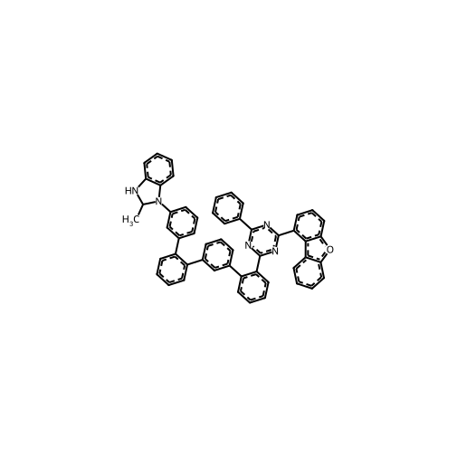 CC1Nc2ccccc2N1c1cccc(-c2ccccc2-c2cccc(-c3ccccc3-c3nc(-c4ccccc4)nc(-c4cccc5oc6ccccc6c45)n3)c2)c1